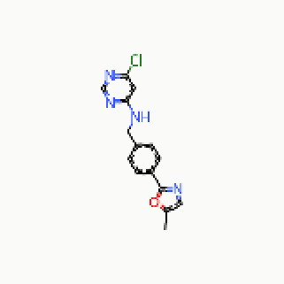 Cc1cnc(-c2ccc(CNc3cc(Cl)ncn3)cc2)o1